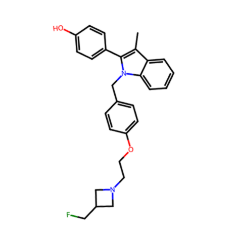 Cc1c(-c2ccc(O)cc2)n(Cc2ccc(OCCN3CC(CF)C3)cc2)c2ccccc12